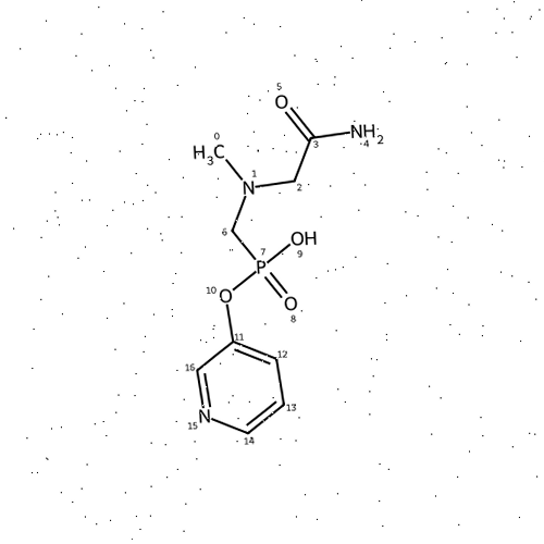 CN(CC(N)=O)CP(=O)(O)Oc1cccnc1